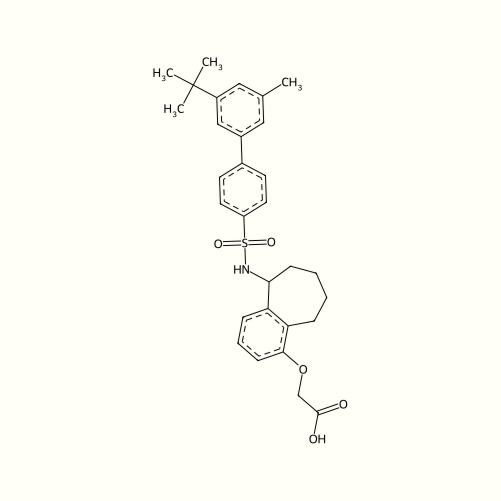 Cc1cc(-c2ccc(S(=O)(=O)NC3CCCCc4c(OCC(=O)O)cccc43)cc2)cc(C(C)(C)C)c1